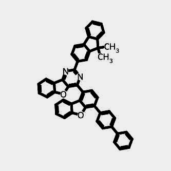 CC1(C)c2ccccc2-c2ccc(-c3nc(-c4ccc(-c5ccc(-c6ccccc6)cc5)c5oc6ccccc6c45)c4oc5ccccc5c4n3)cc21